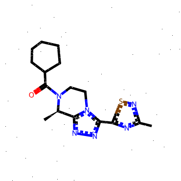 Cc1nsc(-c2nnc3n2CCN(C(=O)C2CCCCC2)[C@@H]3C)n1